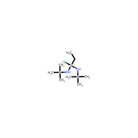 CC[Si](Cl)(N[Si](C)(C)C)N[Si](C)(C)C